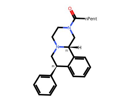 CCCCCC(=O)N1CCN2C[C@H](c3ccccc3)c3ccccc3[C@H]2C1